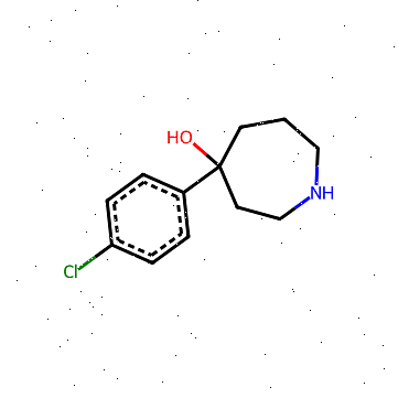 OC1(c2ccc(Cl)cc2)CCCNCC1